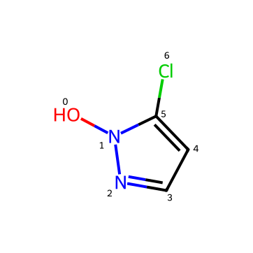 On1nccc1Cl